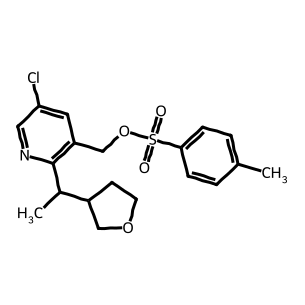 Cc1ccc(S(=O)(=O)OCc2cc(Cl)cnc2C(C)C2CCOC2)cc1